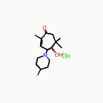 CC1=CC(N2CCC(C)CC2)C(O)C(C)(C)CC1=O.Cl